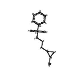 O=S(=O)(OCCC1CC1Br)c1ccccc1